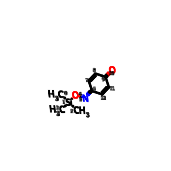 C[Si](C)(C)ON=C1C=CC(=O)C=C1